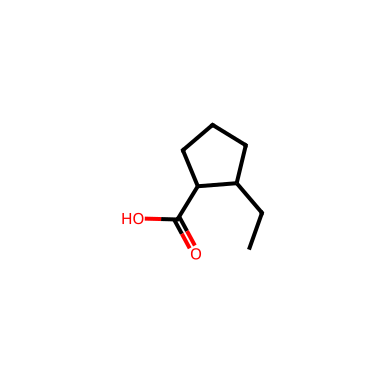 CCC1CCCC1C(=O)O